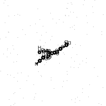 Cc1nc(NC(=O)[C@@H]2CCCN2)sc1S(=O)(=O)N1Cc2cc3c(cc2C[C@H]1C(=O)N[C@@H](Cc1ccc(-c2ccc(C#N)cc2)cc1)C(=O)O)OCC(c1ccc(OCc2ccc(Cl)c(Cl)c2)cc1)O3